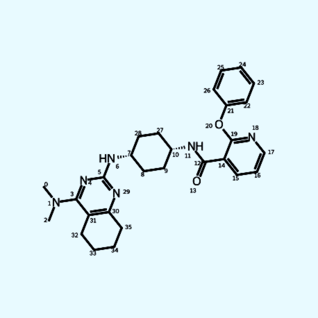 CN(C)c1nc(N[C@H]2CC[C@@H](NC(=O)c3cccnc3Oc3ccccc3)CC2)nc2c1CCCC2